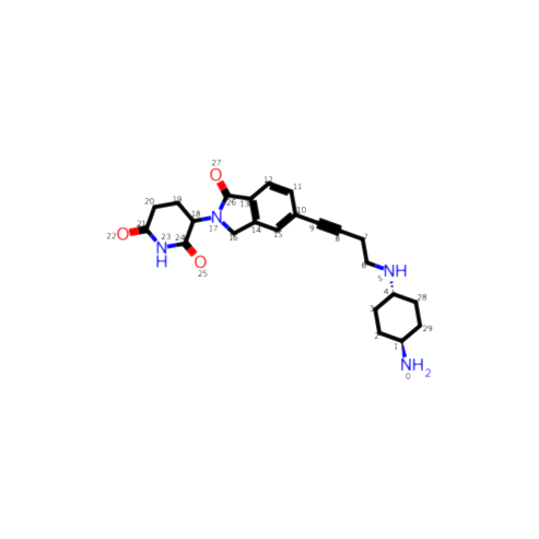 N[C@H]1CC[C@H](NCCC#Cc2ccc3c(c2)CN(C2CCC(=O)NC2=O)C3=O)CC1